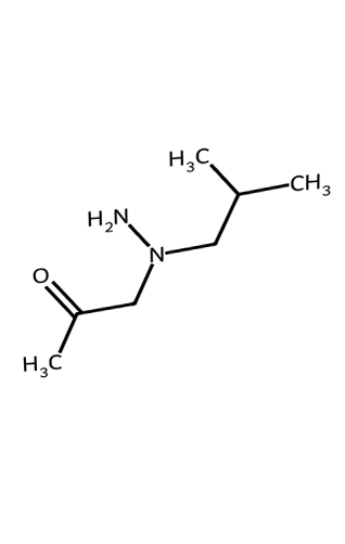 CC(=O)CN(N)CC(C)C